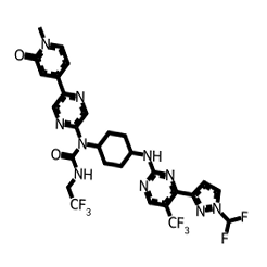 Cn1ccc(-c2cnc(N(C(=O)NCC(F)(F)F)C3CCC(Nc4ncc(C(F)(F)F)c(-c5ccn(C(F)F)n5)n4)CC3)cn2)cc1=O